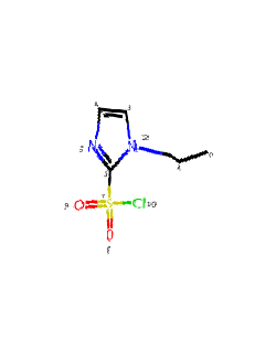 CCn1ccnc1S(=O)(=O)Cl